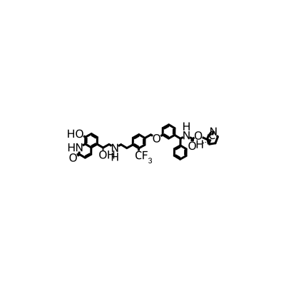 O=C(NC(c1ccccc1)c1cccc(OCc2ccc(CCNC[C@@H](O)c3ccc(O)c4[nH]c(=O)ccc34)c(C(F)(F)F)c2)c1)O[C@H]1CN2CCC1CC2